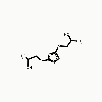 CC(O)CSc1nnc(SCC(C)O)s1